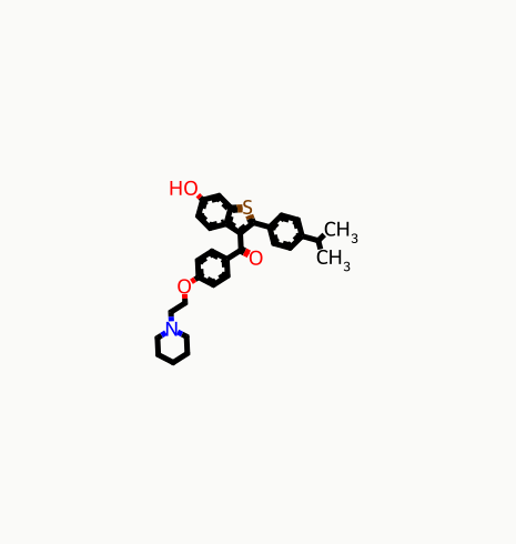 CC(C)c1ccc(-c2sc3cc(O)ccc3c2C(=O)c2ccc(OCCN3CCCCC3)cc2)cc1